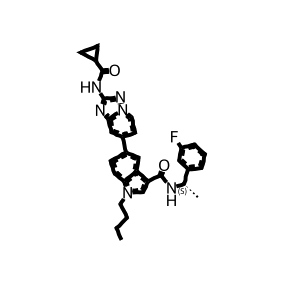 CCCCn1cc(C(=O)N[C@@H](C)c2cccc(F)c2)c2cc(-c3ccn4nc(NC(=O)C5CC5)nc4c3)ccc21